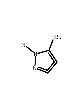 CCN1N=C=C=C1C(C)(C)C